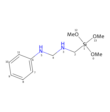 CO[Si](CNCNc1ccccc1)(OC)OC